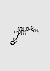 C=CC(=O)N1CCC(Nc2ncnc3[nH]c(C#CCOc4ccccc4Cl)nc23)C1